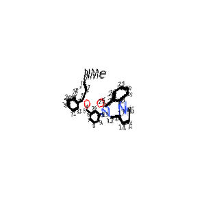 CNCCC(OCc1cccc(N2CC3CCCN3c3ccccc3C2=O)c1)c1ccccc1